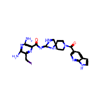 Nc1nc(N)c(C(=O)/N=C2\NCC3(CCN(C(=O)c4cnc5[nH]ccc5c4)CC3)N2)nc1CI